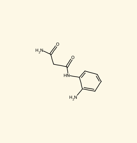 NC(=O)CC(=O)Nc1ccccc1N